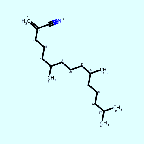 C=C(C#N)CCCC(C)CCCC(C)CCCC(C)C